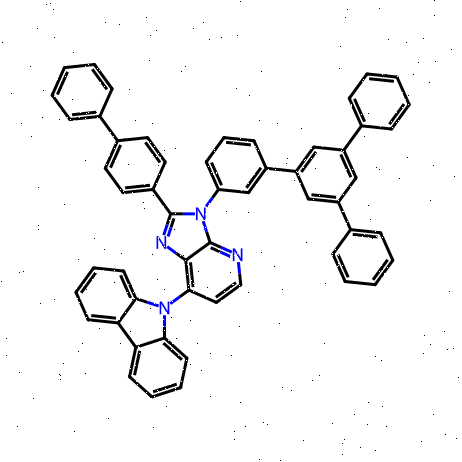 c1ccc(-c2ccc(-c3nc4c(-n5c6ccccc6c6ccccc65)ccnc4n3-c3cccc(-c4cc(-c5ccccc5)cc(-c5ccccc5)c4)c3)cc2)cc1